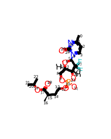 Cc1ccn([C@@H]2O[C@@H]3COP(=O)(OCC[C@@H](C)C(=O)OC(C)C)O[C@H]3C2(F)F)c(=O)n1